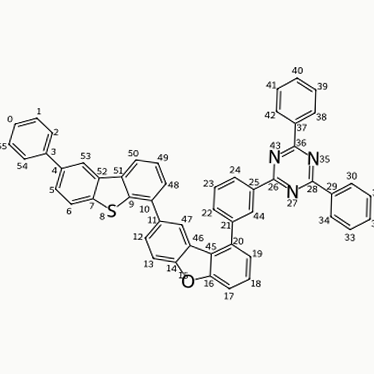 c1ccc(-c2ccc3sc4c(-c5ccc6oc7cccc(-c8cccc(-c9nc(-c%10ccccc%10)nc(-c%10ccccc%10)n9)c8)c7c6c5)cccc4c3c2)cc1